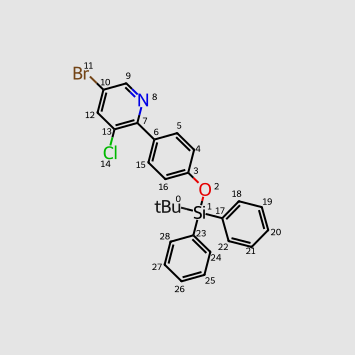 CC(C)(C)[Si](Oc1ccc(-c2ncc(Br)cc2Cl)cc1)(c1ccccc1)c1ccccc1